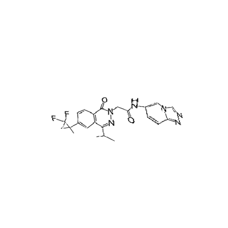 CC(C)c1nn(CC(=O)Nc2ccc3nncn3c2)c(=O)c2ccc(C3(C)CC3(F)F)cc12